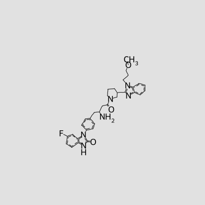 COCCCn1c(C2CCCN(C(=O)CC(N)Cc3ccc(-n4c(=O)[nH]c5ccc(F)cc54)cc3)C2)nc2ccccc21